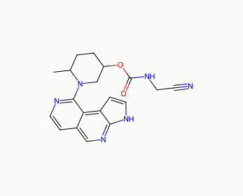 CC1CCC(OC(=O)NCC#N)CN1c1nccc2cnc3[nH]ccc3c12